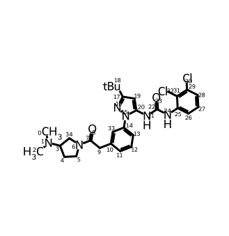 CN(C)C1CCN(C(=O)Cc2cccc(-n3nc(C(C)(C)C)cc3NC(=O)Nc3cccc(Cl)c3Cl)c2)C1